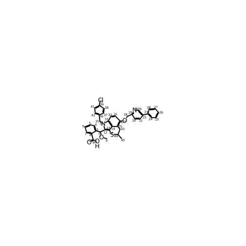 COC(c1ccccc1C(=O)O)c1c2c3c(c(OCc4ccc(-c5ccccc5)cn4)ccc3n1Cc1ccc(Cl)cc1)CC(C)S2